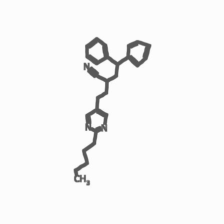 CCCCCc1ncc(CCC(C#N)CC(c2ccccc2)c2ccccc2)cn1